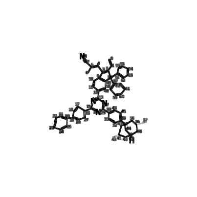 C=CC1=C(/C=C(\C)C#N)c2ccc(-c3nc(-c4ccc(-c5ccccc5)cc4)nc(-c4ccc(C56C[C@H](C)C[C@H](C[C@H](C)C5)C6)cc4)n3)cc2C1(c1ccccc1)c1ccccc1